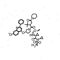 C=C[C@@H]1C[C@]1(NC(=O)[C@@H]1C[C@@H](Oc2cc(-c3ccccc3)nc3cc(OC)ccc23)CN1C(=O)C(CC(=O)N1CCCCC1)C(C)(C)C)C(=O)N(C1CC1)S(N)(=O)=O